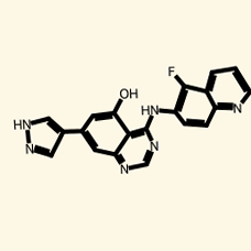 Oc1cc(-c2cn[nH]c2)cc2ncnc(Nc3ccc4ncccc4c3F)c12